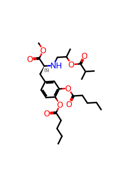 CCCCC(=O)Oc1ccc(C[C@H](NCC(C)OC(=O)C(C)C)C(=O)OC)cc1OC(=O)CCCC